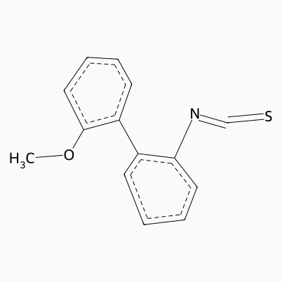 COc1ccccc1-c1ccccc1N=C=S